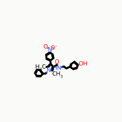 Cc1c(C(=O)NCCc2ccc(O)cc2)c(-c2ccc([N+](=O)[O-])cc2)c(C)n1Cc1ccccc1